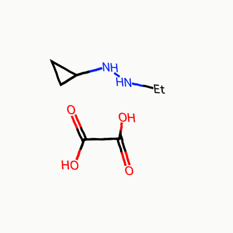 CCNNC1CC1.O=C(O)C(=O)O